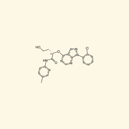 Cc1ccc(NC(=O)[C@H](CCO)Oc2ncnc3c2cnn3-c2ccccc2Cl)nc1